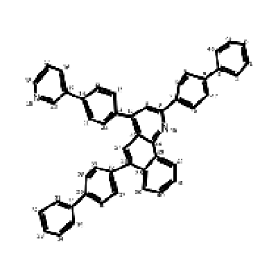 c1ccc(-c2ccc(-c3cc(-c4ccc(-c5cccnc5)cc4)c4cc(-c5ccc(-c6ccccc6)cc5)c5ccccc5c4n3)cc2)cc1